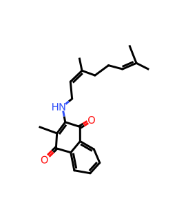 CC(C)=CCCC(C)=CCNC1=C(C)C(=O)c2ccccc2C1=O